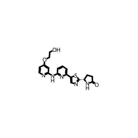 O=C1CC[C@@H](c2ncc(-c3cccc(Nc4cc(OCCO)ccn4)n3)s2)N1